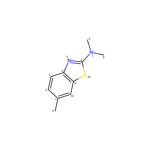 Cc1ccc2nc(N(C)C)sc2c1